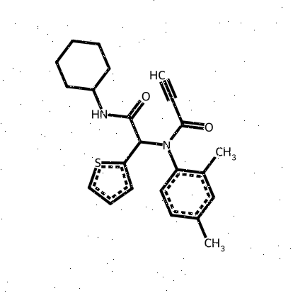 C#CC(=O)N(c1ccc(C)cc1C)C(C(=O)NC1CCCCC1)c1cccs1